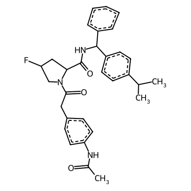 CC(=O)Nc1ccc(CC(=O)N2CC(F)CC2C(=O)NC(c2ccccc2)c2ccc(C(C)C)cc2)cc1